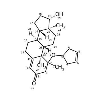 CC1(OC2CC=CC2)CC(=O)C=C2CC[C@H]3[C@@H]4CC[C@H](O)[C@@]4(C)CC[C@@H]3[C@]21C